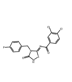 O=C(/N=c1\s[nH]c(=O)n1Cc1ccc(F)cc1)c1ccc(Cl)c(Cl)c1